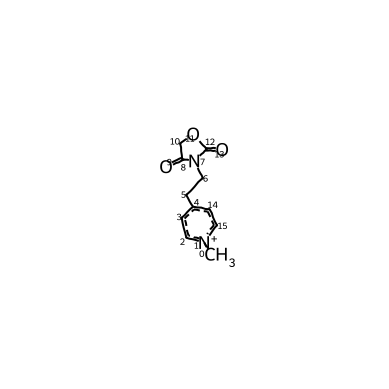 C[n+]1ccc(CCN2C(=O)COC2=O)cc1